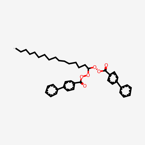 [CH2]CCCCCCCCCCCCCC[C](OOC(=O)c1ccc(-c2ccccc2)cc1)OOC(=O)c1ccc(-c2ccccc2)cc1